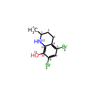 CC1CCc2c(Br)cc(Br)c(O)c2N1